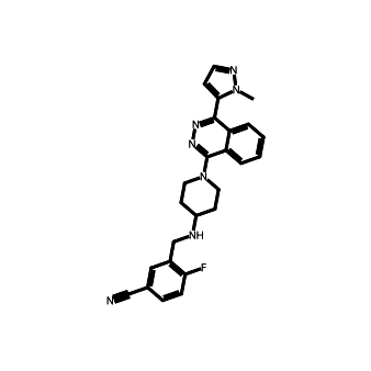 Cn1nccc1-c1nnc(N2CCC(NCc3cc(C#N)ccc3F)CC2)c2ccccc12